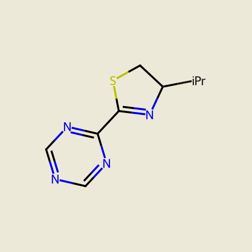 CC(C)C1CSC(c2ncncn2)=N1